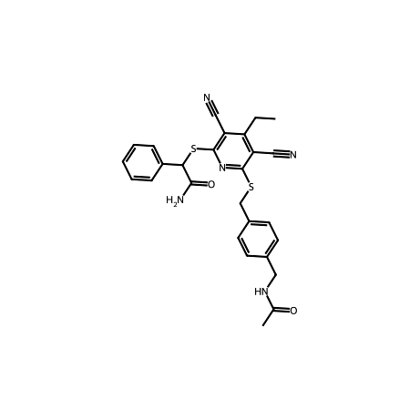 CCc1c(C#N)c(SCc2ccc(CNC(C)=O)cc2)nc(SC(C(N)=O)c2ccccc2)c1C#N